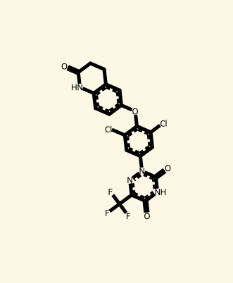 O=C1CCc2cc(Oc3c(Cl)cc(-n4nc(C(F)(F)F)c(=O)[nH]c4=O)cc3Cl)ccc2N1